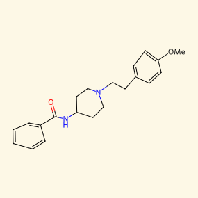 COc1ccc(CCN2CCC(NC(=O)c3ccccc3)CC2)cc1